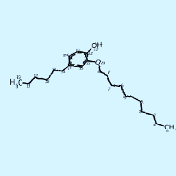 CCCCCCCCCCOc1cc(CCCCCC)ccc1O